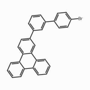 Brc1ccc(-c2cccc(-c3ccc4c5ccccc5c5ccccc5c4c3)c2)cc1